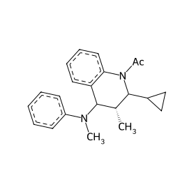 CC(=O)N1c2ccccc2C(N(C)c2ccccc2)[C@@H](C)C1C1CC1